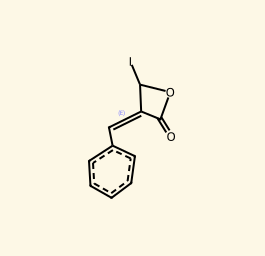 O=C1OC(I)/C1=C/c1ccccc1